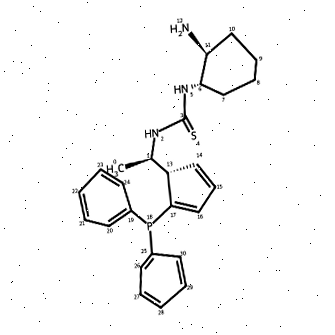 C[C@@H](NC(=S)N[C@H]1CCCC[C@@H]1N)[C@@H]1C=CC=C1P(c1ccccc1)c1ccccc1